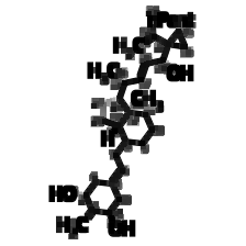 C=C1[C@H](O)CC(=CCC2CCC[C@]3(C)[C@@H]([C@H](C)/C=C/[C@@H](O)C4(C(=C)CCCCC)CC4)CC[C@@H]23)C[C@H]1O